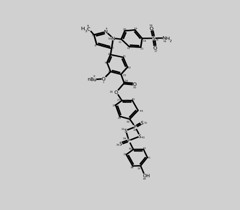 CCCCOc1cc(-c2cc(C)nn2-c2ccc(S(N)(=O)=O)cc2)ccc1C(=O)Oc1ccc(P2(=S)SP(=S)(c3ccc(O)cc3)S2)cc1